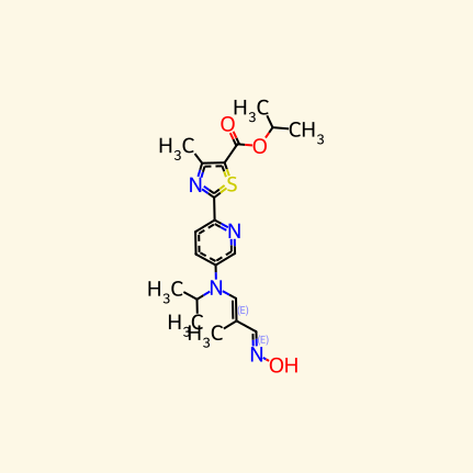 CC(/C=N/O)=C\N(c1ccc(-c2nc(C)c(C(=O)OC(C)C)s2)nc1)C(C)C